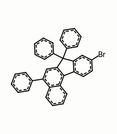 Brc1ccc2c(c1)C(c1ccccc1)(c1ccccc1)c1cc(-c3ccccc3)c3ccccc3c1-2